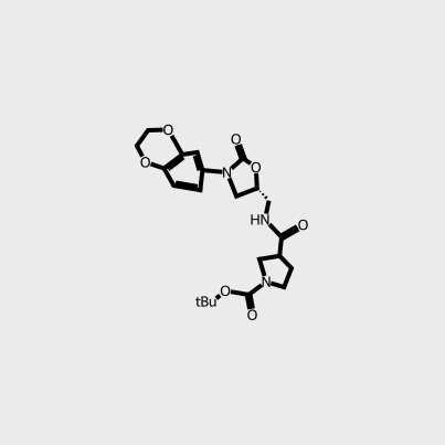 CC(C)(C)OC(=O)N1CCC(C(=O)NC[C@@H]2CN(c3ccc4c(c3)OCCO4)C(=O)O2)C1